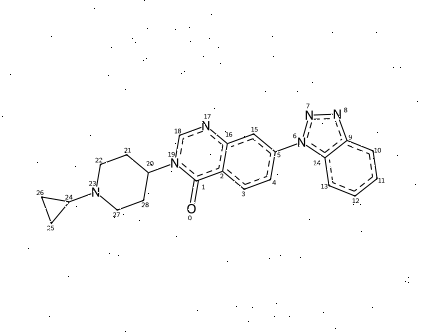 O=c1c2ccc(-n3nnc4ccccc43)cc2ncn1C1CCN(C2CC2)CC1